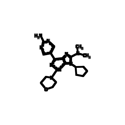 CN(C)c1nc2c(-c3cnc(N)nc3)nc(N3CCOCC3)nc2n1C1CCCC1